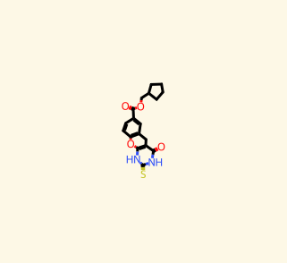 O=C(OCC1CCCC1)c1ccc2c(c1)Cc1c([nH]c(=S)[nH]c1=O)O2